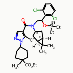 CCOC(=O)C1(C)CCC(n2ncc(C(=O)N(CC(O[Si](CC)(CC)CC)c3c(Cl)cccc3Cl)[C@H]3C[C@@H]4[C@H](C3)C4(C)C)c2C(F)(F)F)CC1